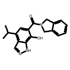 CC(C)c1cc(C(=O)N2Cc3ccccc3C2)c(O)c2[nH]ncc12